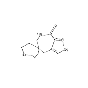 O=C1NCC2(CCOCC2)Cc2c[nH]nc21